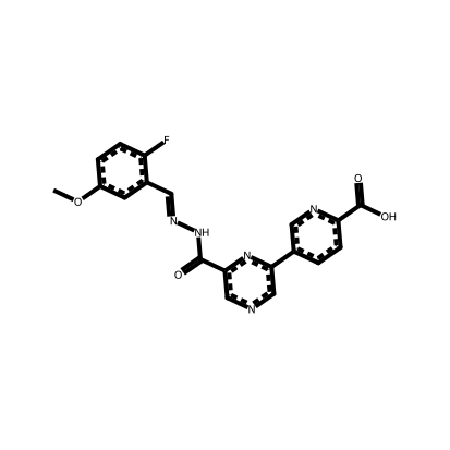 COc1ccc(F)c(/C=N/NC(=O)c2cncc(-c3ccc(C(=O)O)nc3)n2)c1